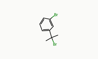 CC(C)(Br)c1cccc(Br)c1